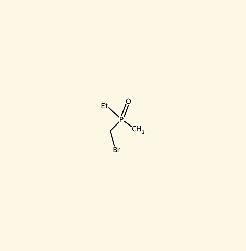 CCP(C)(=O)CBr